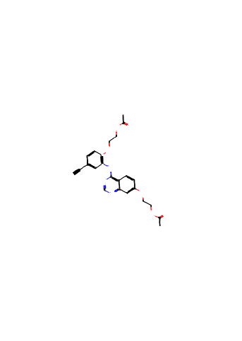 C#Cc1ccc(OCCOC(C)=O)c(Nc2ncnc3cc(OCCOC(C)=O)ccc23)c1